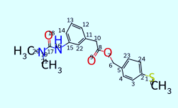 CSc1ccc(COC(=O)Cc2cccc(NC(=O)N(C)C)c2)cc1